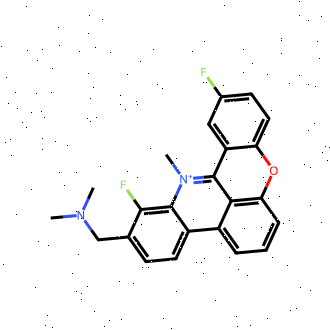 CN(C)Cc1ccc2c3cccc4c3c([n+](C)c2c1F)-c1cc(F)ccc1O4